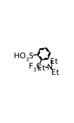 CCN(CC)CC.O=S(=O)(O)c1ccccc1C(F)(F)F